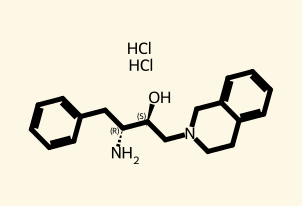 Cl.Cl.N[C@H](Cc1ccccc1)[C@@H](O)CN1CCc2ccccc2C1